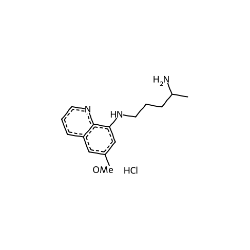 COc1cc(NCCCC(C)N)c2ncccc2c1.Cl